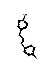 Brc1ccc(C=CCc2ccc(Br)cc2)cc1